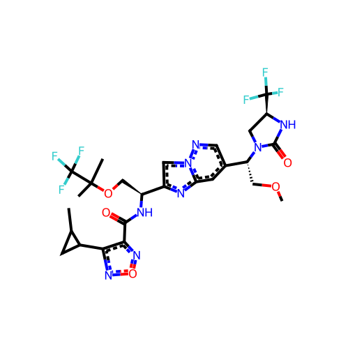 COC[C@H](c1cnn2cc([C@H](COC(C)(C)C(F)(F)F)NC(=O)c3nonc3C3CC3C)nc2c1)N1C[C@@H](C(F)(F)F)NC1=O